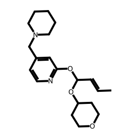 CC=CC(Oc1cc(CN2CCCCC2)ccn1)OC1CCOCC1